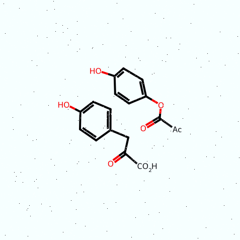 CC(=O)C(=O)Oc1ccc(O)cc1.O=C(O)C(=O)Cc1ccc(O)cc1